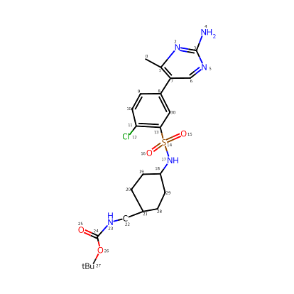 Cc1nc(N)ncc1-c1ccc(Cl)c(S(=O)(=O)NC2CCC(CNC(=O)OC(C)(C)C)CC2)c1